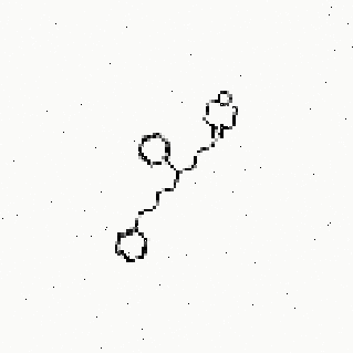 c1ccc(CCCCC(CCCN2CCOCC2)c2ccccc2)cc1